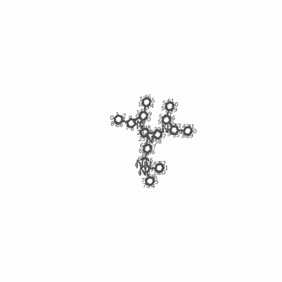 c1ccc(-c2ccc3c(c2)c2cc(-c4ccccc4)ccc2n3-c2ccc3c(c2)c2cc(-n4c5ccc(-c6ccccc6)cc5c5cc(-c6ccccc6)ccc54)ccc2n3-c2ccc(-c3cnc4nc(-c5ccccc5)c(-c5ccccc5)n4c3)cc2)cc1